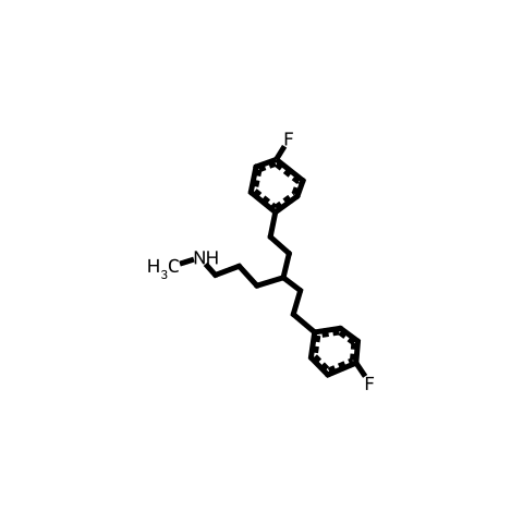 CNCCCC(CCc1ccc(F)cc1)CCc1ccc(F)cc1